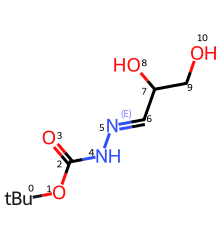 CC(C)(C)OC(=O)N/N=C/C(O)CO